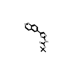 CC(C)(C)OC(=O)Nc1ncc(-c2ccc3nnccc3c2)s1